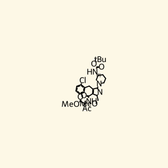 COCC1N=C(N2CCC[C@@H](NC(=O)OC(C)(C)C)C2)C(Cc2ccccc2Cl)=C1C(=O)NC(C(C)=O)C(=O)OC